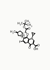 C=C1CN[C@@H](C(Oc2c(F)c(F)cc3c(=O)c(C(=O)O)cn(C4CC4)c23)C(=O)OC(C)(C)C)C1